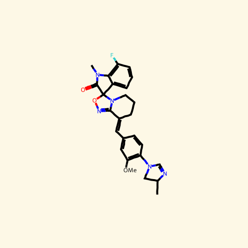 COc1cc(/C=C2\CCCN3C2=NOC32C(=O)N(C)c3c(F)cccc32)ccc1N1C=NC(C)C1